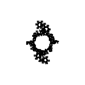 CC(C)C[C@H]1C(=O)O[C@H](Cc2ccc(CN3CCCCC3)cc2)C(=O)N(C)[C@@H](CC(C)C)C(=O)O[C@H](C)C(=O)N(C)[C@@H](CC(C)C)C(=O)O[C@H](Cc2ccc(CN3CCCCC3)cc2)C(=O)N(C)[C@@H](CC(C)C)C(=O)O[C@H](C)C(=O)N1C